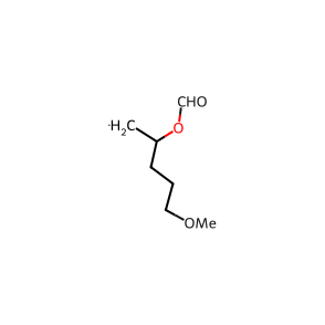 [CH2]C(CCCOC)OC=O